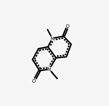 Cn1c(=O)ccc2c1ccc(=O)n2C